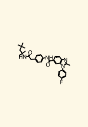 Cc1nc2ccc(C(=O)Nc3ccc(CC(=O)NC(C)(C)CC(C)(C)C)cc3)cc2n1-c1ccc(F)cc1